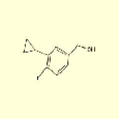 O[CH]c1ccc(I)c(C2CC2)c1